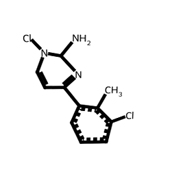 Cc1c(Cl)cccc1C1=NC(N)N(Cl)C=C1